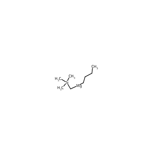 CCC[CH2][Mg][CH2][Si](C)(C)C